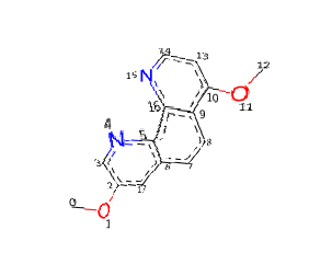 COc1cnc2c(ccc3c(OC)ccnc32)c1